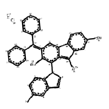 Cc1ccc2c(c1)C=CC2c1c(C(C)(C)C)c(=C(c2ccccc2)c2ccccc2)cc2c1=[C]([Zr+2])c1cc(C(C)(C)C)ccc1-2.[Cl-].[Cl-]